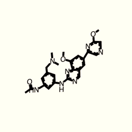 COc1cncc(-c2cc(OC)c3nc(Nc4cc(CN(C)C)cc(NC(C)=O)c4)ncc3c2)n1